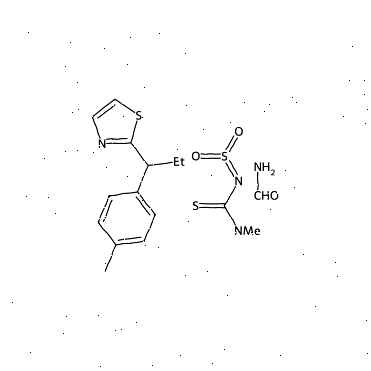 CCC(c1ccc(C)cc1)c1nccs1.CNC(=S)N=S(=O)=O.NC=O